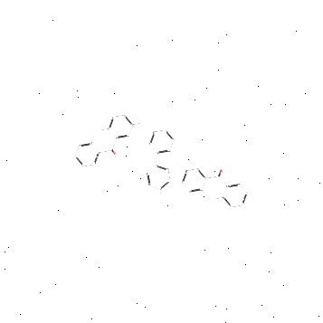 CS(c1ccccc1)(c1ccc(Sc2ccc3sc4ccccc4c(=O)c3c2)cc1)c1ccc2sc3ccccc3c(=O)c2c1